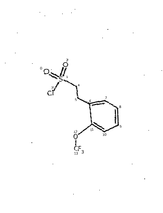 O=S(=O)(Cl)CCc1ccccc1OC(F)(F)F